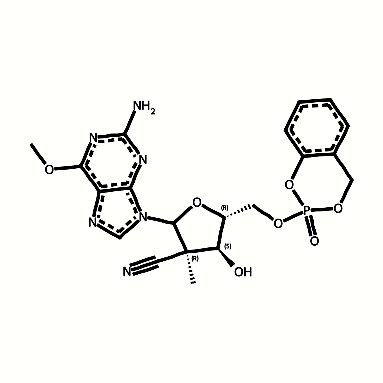 COc1nc(N)nc2c1ncn2C1O[C@H](COP2(=O)OCc3ccccc3O2)[C@@H](O)[C@@]1(C)C#N